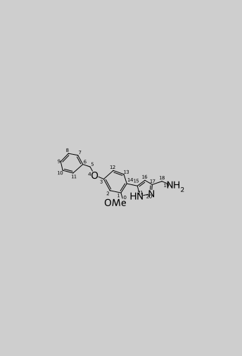 COc1cc(OCc2ccccc2)ccc1-c1cc(CN)n[nH]1